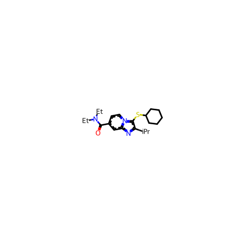 CCN(CC)C(=O)c1ccn2c(SC3CCCCC3)c(C(C)C)nc2c1